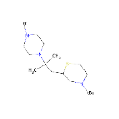 CCN1CCN(C(C)(C)CC2CN(C(C)(C)C)CCS2)CC1